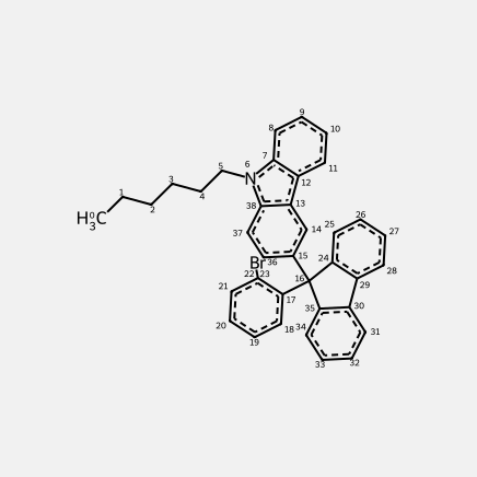 CCCCCCn1c2ccccc2c2cc(C3(c4ccccc4Br)c4ccccc4-c4ccccc43)ccc21